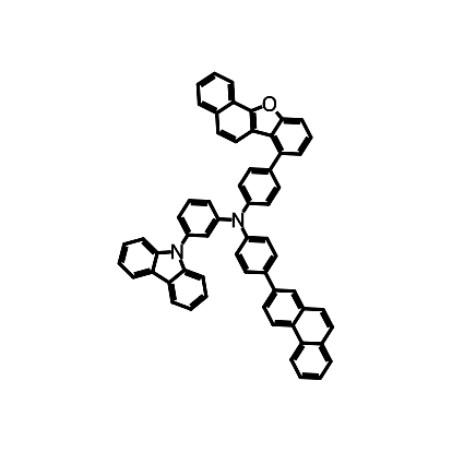 c1cc(N(c2ccc(-c3ccc4c(ccc5ccccc54)c3)cc2)c2ccc(-c3cccc4oc5c6ccccc6ccc5c34)cc2)cc(-n2c3ccccc3c3ccccc32)c1